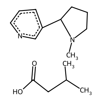 CC(C)CC(=O)O.CN1CCCC1c1cccnc1